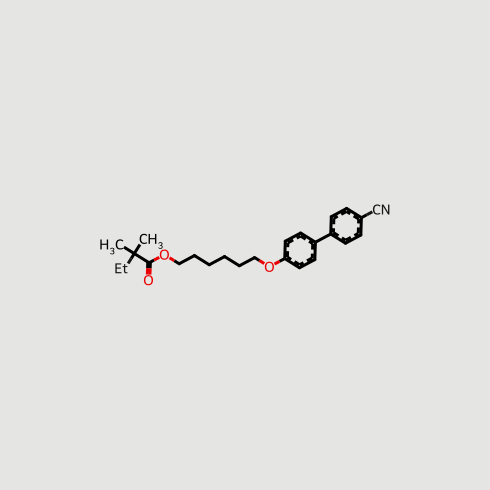 CCC(C)(C)C(=O)OCCCCCCOc1ccc(-c2ccc(C#N)cc2)cc1